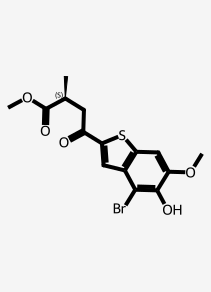 COC(=O)[C@@H](C)CC(=O)c1cc2c(Br)c(O)c(OC)cc2s1